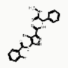 CNC(=O)[C@@H](NC(=O)c1n[nH]c(NC(=O)c2ccccc2Cl)c1Br)c1ccccc1